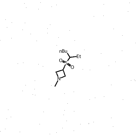 CCCCC(CC)S(=O)(=O)C1CN(C)C1